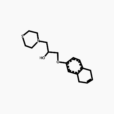 OC(COc1ccc2c(c1)CC=CC2)CN1CCSCC1